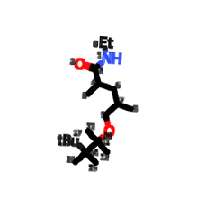 CCNC(=O)C(C)CC(C)COC(C)(C)C(C)(C)C(C)(C)C